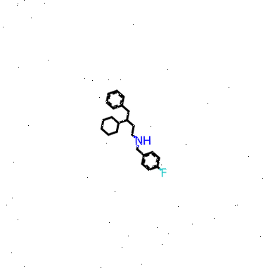 Fc1ccc(CNCCC(Cc2ccccc2)C2CCCCC2)cc1